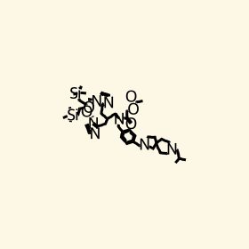 CC(=O)OCC(=O)N(Cc1ccc(CN2CCC3(CCN(CC(C)C)CC3)C2)cc1)CC(Cc1nccn1COCC[Si](C)(C)C)Cc1nccn1COCC[Si](C)(C)C